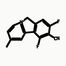 Cc1cc[n+]2c(c1)-c1c(cc(F)c(C#N)c1F)C2